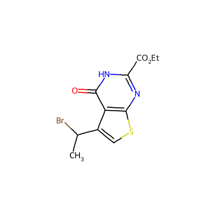 CCOC(=O)c1nc2scc(C(C)Br)c2c(=O)[nH]1